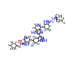 CN(C)CCNc1cc(F)cc(-c2nccc3[nH]c(-c4n[nH]c5cc(F)c(-c6cncc(NC(=O)Cc7ccccc7)c6)cc45)nc23)c1